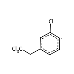 Clc1[c]ccc(CC(Cl)(Cl)Cl)c1